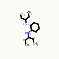 CCC(CC)N[C@@H]1CCCC[C@H]1NC(CC)CC